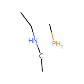 CCNCC.CP